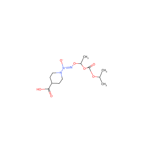 CC(C)OC(=O)OC(C)ON=[N+]([O-])N1CCC(C(=O)O)CC1